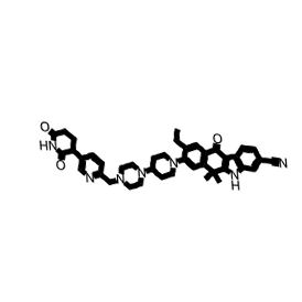 CCc1cc2c(cc1N1CCC(N3CCN(Cc4ccc(C5CCC(=O)NC5=O)cn4)CC3)CC1)C(C)(C)c1[nH]c3cc(C#N)ccc3c1C2=O